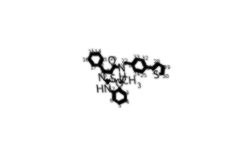 COc1ccccc1Nc1nc(-c2ccccc2)c(C(=O)NCc2ccc(-c3cccs3)cc2)s1